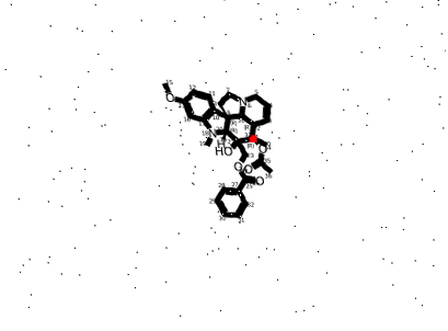 CC[C@]12C=CCN3CC[C@@]4(c5ccc(OC)cc5N(C)[C@H]4C(O)(COC(=O)c4ccccc4)[C@@H]1OC(C)=O)C32